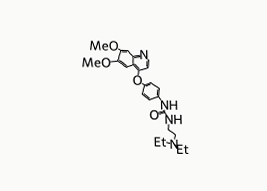 CCN(CC)CCNC(=O)Nc1ccc(Oc2ccnc3cc(OC)c(OC)cc23)cc1